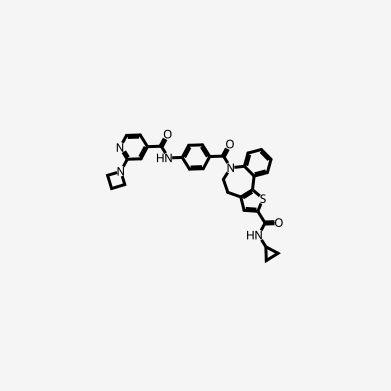 O=C(Nc1ccc(C(=O)N2CCc3cc(C(=O)NC4CC4)sc3-c3ccccc32)cc1)c1ccnc(N2CCC2)c1